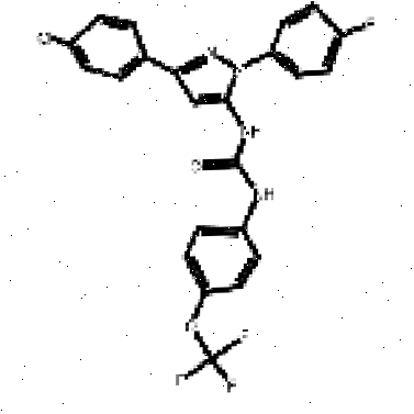 O=C(Nc1ccc(OC(F)(F)F)cc1)Nc1cc(-c2ccc(Cl)cc2)nn1-c1ccc(F)cc1